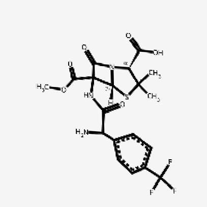 COC(=O)C1(NC(=O)C(N)c2ccc(C(F)(F)F)cc2)C(=O)N2[C@@H](C(=O)O)C(C)(C)S[C@@H]21